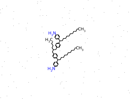 CCCCCCCCCCCC(c1ccc(N)cc1)c1ccc(CC(CCCCC)Cc2ccc(C(CCCCCCCCCCC)c3ccc(N)cc3)cc2)cc1